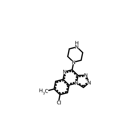 Cc1cc2nc(N3CCNCC3)c3nncn3c2cc1Cl